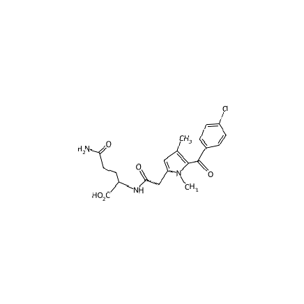 Cc1cc(CC(=O)NC(CCC(N)=O)C(=O)O)n(C)c1C(=O)c1ccc(Cl)cc1